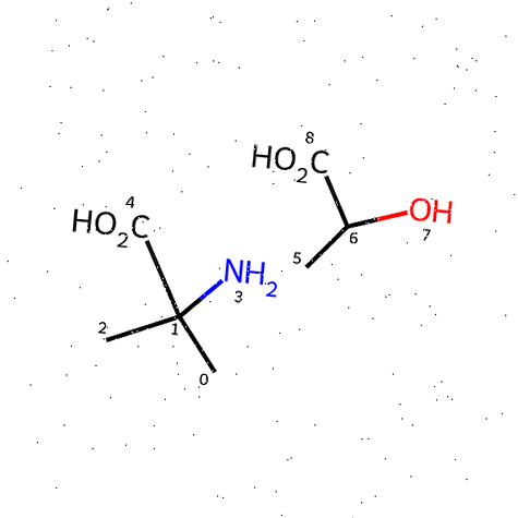 CC(C)(N)C(=O)O.CC(O)C(=O)O